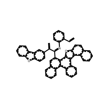 C=Cc1ccccc1/N=C(\C(=C)c1ccc2oc3ccccc3c2c1)c1cc2ccccc2c2c3ccccc3c3c(oc4ccc5ccccc5c43)c12